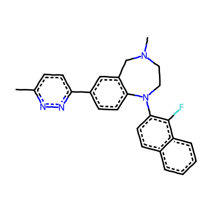 Cc1ccc(-c2ccc3c(c2)CN(C)CCN3c2ccc3ccccc3c2F)nn1